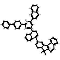 CC1(C)c2ccc(-c3ccc(-c4cc(-c5ccc6ccccc6c5)nc(-c5ccc(-c6ccccc6)cc5)n4)c4ccccc34)cc2-c2c1ccc1ccccc21